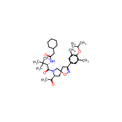 CC(=O)[C@@H]1C[C@]2(CC(c3cc(C)c(OC(C)C)c(C)c3)=NO2)CN1C(=O)[C@@H](NC(=O)CC1CCCCC1)C(C)(C)C